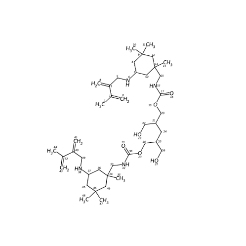 C=C(C)C(=C)CNC1CC(C)(C)CC(C)(CNC(=O)OCC(CO)CC(CO)COC(=O)NCC2(C)CC(NCC(=C)C(=C)C)CC(C)(C)C2)C1